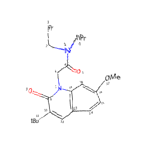 CCCN(CC(C)C)C(=O)Cn1c(=O)c(C(C)(C)C)cc2ccc(OC)cc21